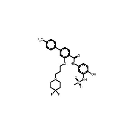 CS(=O)(=O)Nc1cc(NC(=O)c2ccc(-c3ccc(C(F)(F)F)cc3)cc2OCCCN2CCC(F)(F)CC2)ccc1O